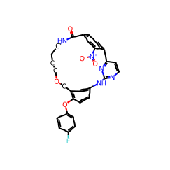 O=C1NCCCCOCc2cc(ccc2Oc2ccc(F)cc2)Nc2nccc(n2)-c2ccc1cc2[N+](=O)[O-]